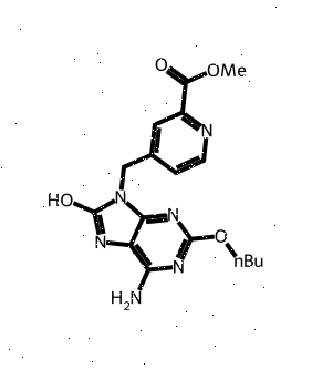 CCCCOc1nc(N)c2nc(O)n(Cc3ccnc(C(=O)OC)c3)c2n1